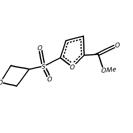 COC(=O)c1ccc(S(=O)(=O)C2COC2)o1